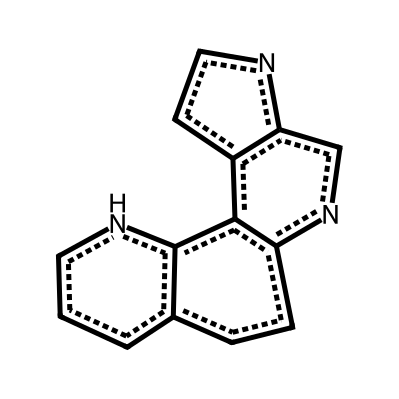 c1c[nH]c2c(c1)ccc1ncc3nccc3c12